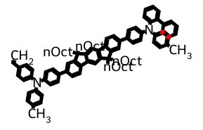 C=Cc1ccc(N(c2ccc(C)cc2)c2ccc(-c3ccc4c(c3)C(CCCCCCCC)(CCCCCCCC)c3cc5c(cc3-4)C(CCCCCCCC)(CCCCCCCC)c3cc(-c4ccc(N(c6ccc(C)cc6)c6ccccc6-c6ccccc6)cc4)ccc3-5)cc2)cc1